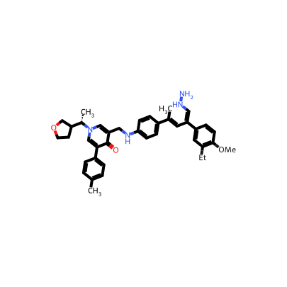 CCc1cc(C(/C=C(\C)c2ccc(NCc3cn([C@@H](C)C4CCOC4)cc(-c4ccc(C)cc4)c3=O)cc2)=C/NN)ccc1OC